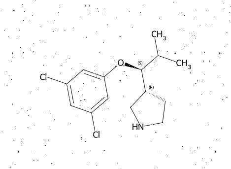 CC(C)[C@H](Oc1cc(Cl)cc(Cl)c1)[C@@H]1CCNC1